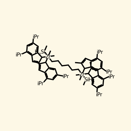 C[SiH2][Zr]([CH3])([CH3])([CH2]CCCC[CH2][Zr]([CH3])([CH3])([SiH2]C)([CH]1C(C)=Cc2c(C(C)C)cc(C(C)C)cc21)[CH]1C(C)=Cc2c(C(C)C)cc(C(C)C)cc21)([CH]1C(C)=Cc2c(C(C)C)cc(C(C)C)cc21)[CH]1C(C)=Cc2c(C(C)C)cc(C(C)C)cc21